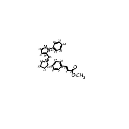 COC(=O)/C=C/c1ccc([C@@H]2CCCN2Cc2ccnn2-c2ccccc2)cc1